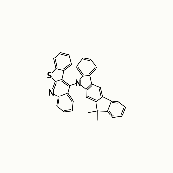 CC1(C)c2ccccc2-c2cc3c4ccccc4n(-c4c5ccccc5nc5sc6ccccc6c45)c3cc21